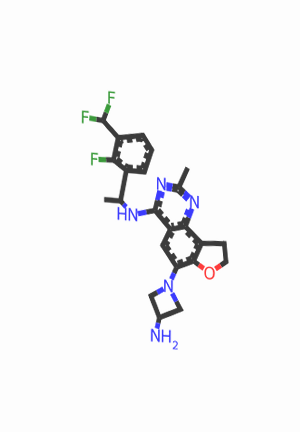 Cc1nc(NC(C)c2cccc(C(F)F)c2F)c2cc(N3CC(N)C3)c3c(c2n1)CCO3